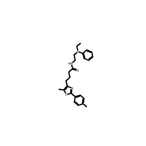 CCN(CCNC(=O)CCCc1nc(-c2ccc(C)cc2)oc1C)c1ccccc1